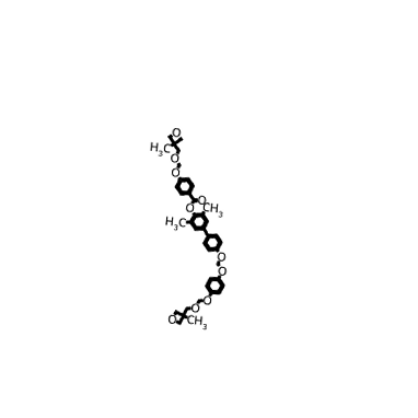 Cc1cc(-c2ccc(OCOc3ccc(OCOCC4(C)COC4)cc3)cc2)cc(C)c1OC(=O)c1ccc(OCOCC2(C)COC2)cc1